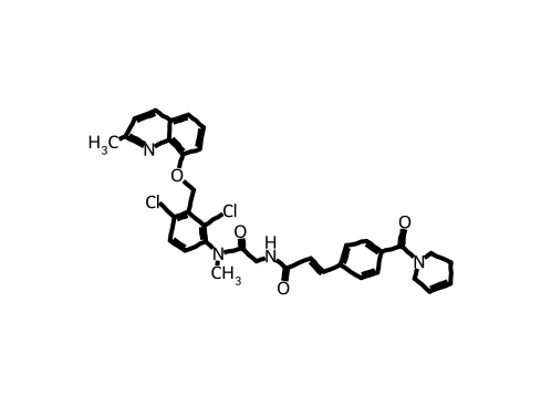 Cc1ccc2cccc(OCc3c(Cl)ccc(N(C)C(=O)CNC(=O)/C=C/c4ccc(C(=O)N5CC=CCC5)cc4)c3Cl)c2n1